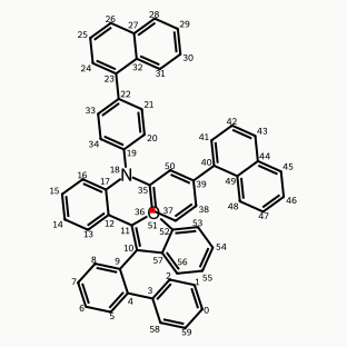 c1ccc(-c2ccccc2-c2c(-c3ccccc3N(c3ccc(-c4cccc5ccccc45)cc3)c3cccc(-c4cccc5ccccc45)c3)oc3ccccc23)cc1